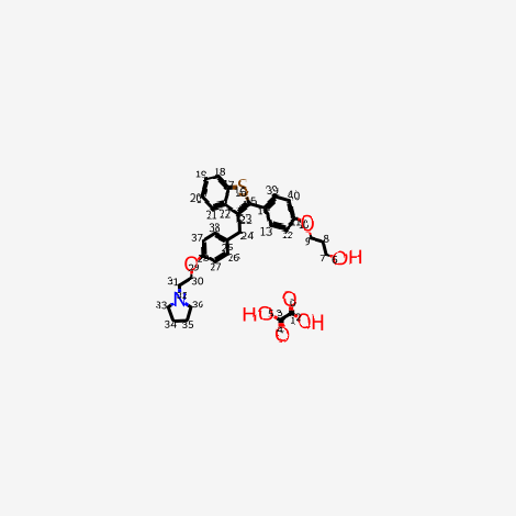 O=C(O)C(=O)O.OCCCOc1ccc(-c2sc3ccccc3c2Cc2ccc(OCCN3CCCC3)cc2)cc1